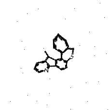 CC1c2cccnc2-c2ccc3c(c21)-c1ccccc1CS3